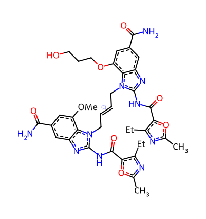 CCc1nc(C)oc1C(=O)Nc1nc2cc(C(N)=O)cc(OC)c2n1C/C=C/Cn1c(NC(=O)c2oc(C)nc2CC)nc2cc(C(N)=O)cc(OCCCO)c21